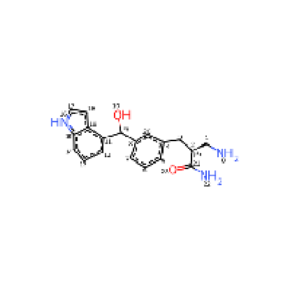 NC[C@H](Cc1cccc(C(O)c2cccc3[nH]ccc23)c1)C(N)=O